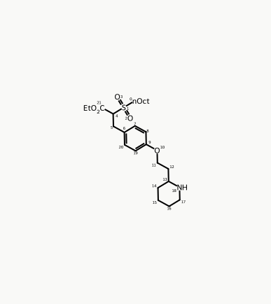 CCCCCCCCS(=O)(=O)C(Cc1ccc(OCCC2CCCCN2)cc1)C(=O)OCC